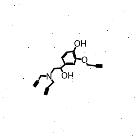 C#CCOc1cc(C(O)CN(CC#C)CC#C)ccc1O